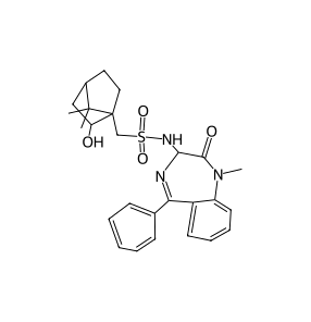 CN1C(=O)C(NS(=O)(=O)CC23CCC(CC2O)C3(C)C)N=C(c2ccccc2)c2ccccc21